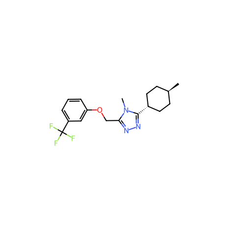 Cn1c(COc2cccc(C(F)(F)F)c2)nnc1[C@H]1CC[C@H](C)CC1